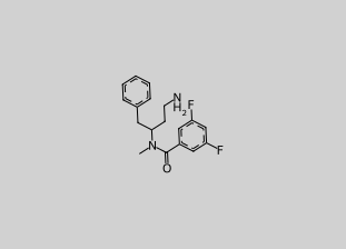 CN(C(=O)c1cc(F)cc(F)c1)C(CCN)Cc1ccccc1